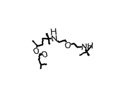 CC(C)CC(=O)OC(C)CCC(C)(C)NCCOCCNC(C)(C)C